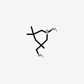 CC1(C)C[SH](N)CC(C)(CN)C1